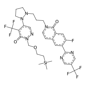 C[Si](C)(C)CCOCn1ncc(N2CCCN2CCCn2ccc3cc(-c4ncc(C(F)(F)F)cn4)c(F)cc3c2=O)c(C(F)(F)F)c1=O